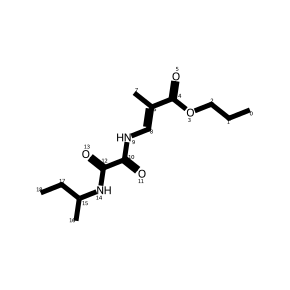 CCCOC(=O)C(C)=CNC(=O)C(=O)NC(C)CC